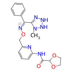 CN1NNN=C1/C(=N\OCc1cccc(NC(=O)C2OCCO2)n1)c1ccccc1